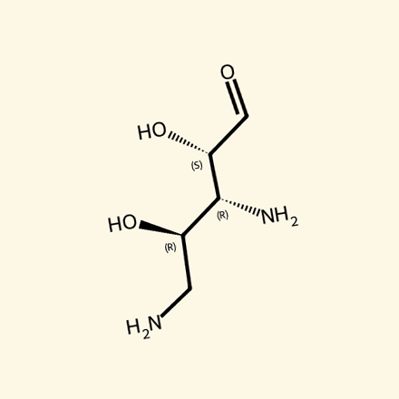 NC[C@@H](O)[C@@H](N)[C@H](O)C=O